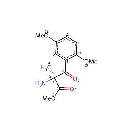 COC(=O)[C@@](C)(N)C(=O)c1cc(OC)ccc1OC